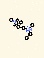 c1ccc(-c2cccc(-c3nc(-c4ccccc4)nc(-c4ccc(-c5cccc6c5-c5ccccc5C65c6ccccc6N(c6ccccc6)c6ccccc65)cc4)n3)c2)cc1